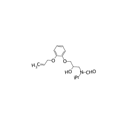 C=CCOc1ccccc1OCC(O)CN(C=O)C(C)C